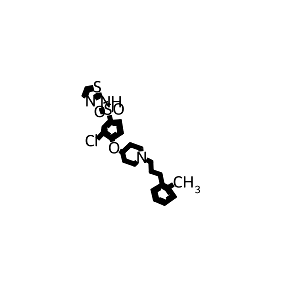 Cc1ccccc1CCCN1CCC(Oc2ccc(S(=O)(=O)Nc3nccs3)cc2Cl)CC1